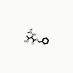 CC(O)C(N[SiH](C)C)C(=O)OCc1ccccc1